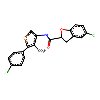 O=C(O)c1c(NC(=O)C2Cc3cc(Cl)ccc3O2)csc1-c1ccc(Cl)cc1